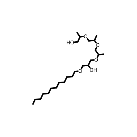 CCCCCCCCCCCCOCC(O)COC(C)COC(C)COC(C)CO